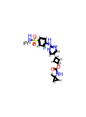 CC(C)NS(=O)(=O)c1ccc(Nc2ncc([C@H]3C[C@@H](OC(=O)NC4(C)CC4)C3)cn2)c(F)c1